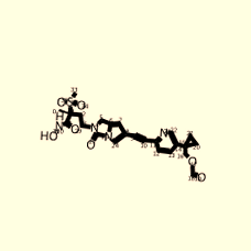 C[C@@](CCN1Cc2cc(C#Cc3ccc(C4(COC=O)CC4)cn3)cn2C1=O)(C(=O)NO)S(C)(=O)=O